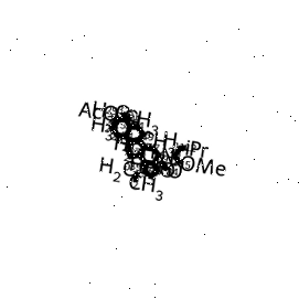 C=C(C)[C@@H]1CC[C@]2(C(=O)NC(CC(C)C)C(=O)OC)CC[C@]3(C)[C@H](CC[C@@H]4[C@@]5(C)CC[C@H](OC(C)=O)C(C)(C)[C@@H]5CC[C@]43C)[C@@H]12